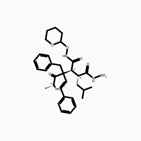 CC(C)C[C@@H](C(=O)NN)[C@H](C(=O)NOC1CCCCO1)C(/C=C/c1ccccc1)(Cc1ccccc1)C(=O)[C@@H](C)N